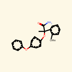 COc1ccccc1C(C)(Oc1ccc(Oc2ccccc2)cc1)C(N)=O